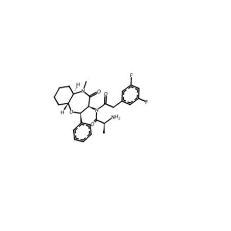 C[C@H](N)C(=O)N(C(=O)Cc1cc(F)cc(F)c1)[C@@H]1C(=O)N(C)[C@@H]2CCCC[C@H]2O[C@@H]1c1ccccc1